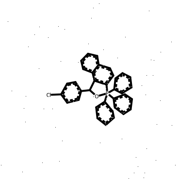 Clc1ccc(C2OP(c3ccccc3)(c3ccccc3)(c3ccccc3)c3ccc4ccccc4c32)cc1